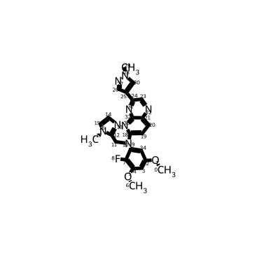 COc1cc(OC)c(F)c(N(Cc2nccn2C)c2ccc3ncc(-c4cnn(C)c4)nc3n2)c1